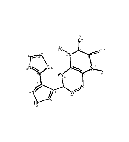 CCC1C(=O)N(C)C2=C(NC(c3c[nH]nc3-c3nccs3)N=C2)N1C(C)C